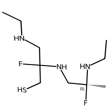 CCNCC(F)(CS)NC[C@](C)(F)NCC